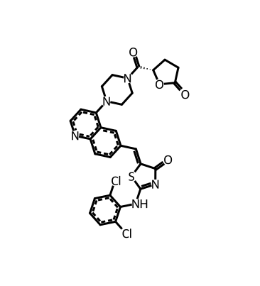 O=C1CC[C@@H](C(=O)N2CCN(c3ccnc4ccc(/C=C5\SC(Nc6c(Cl)cccc6Cl)=NC5=O)cc34)CC2)O1